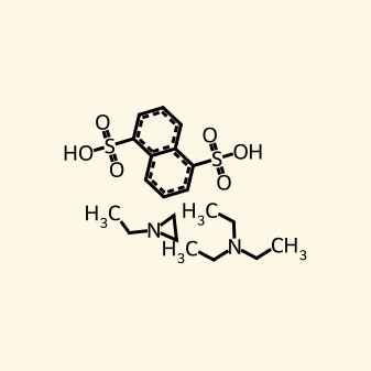 CCN(CC)CC.CCN1CC1.O=S(=O)(O)c1cccc2c(S(=O)(=O)O)cccc12